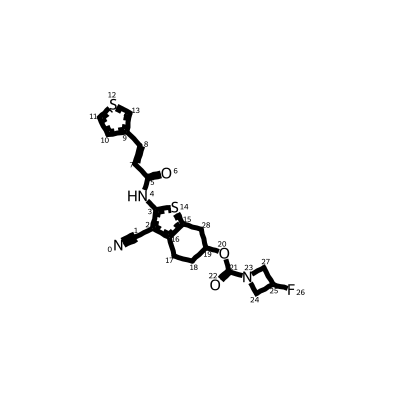 N#Cc1c(NC(=O)C=Cc2ccsc2)sc2c1CCC(OC(=O)N1CC(F)C1)C2